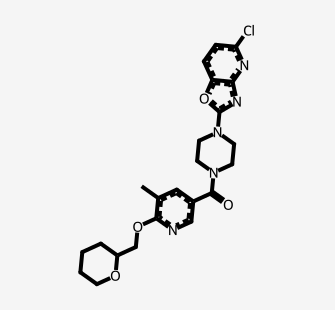 Cc1cc(C(=O)N2CCN(c3nc4nc(Cl)ccc4o3)CC2)cnc1OCC1CCCCO1